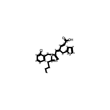 CCCCc1ncc(/C=C(/C=C/C(=O)O)Cc2cccs2)n1Cc1ccccc1Cl